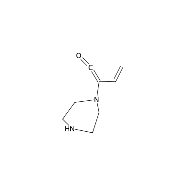 C=CC(=C=O)N1CCNCC1